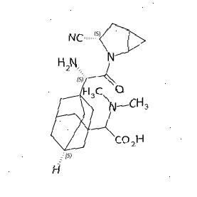 CN(C)C(C(=O)O)C12CC3C[C@H](C1)CC([C@H](N)C(=O)N1C4CC4C[C@H]1C#N)(C3)C2